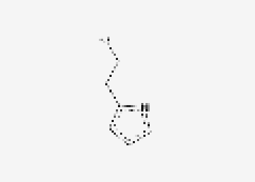 [O]CCc1ccc[nH]1